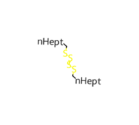 CCCCCCCCSSSSCCCCCCCC